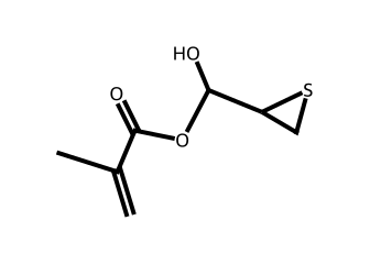 C=C(C)C(=O)OC(O)C1CS1